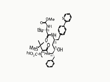 COC(=O)N[C@H](C(=O)N[C@@H](Cc1ccc(-c2ccccn2)cc1)C[C@H](O)[C@H](Cc1ccccc1)NC(=O)[C@@H](N(C)C(=O)O)C(C)(C)SC)C(C)(C)C